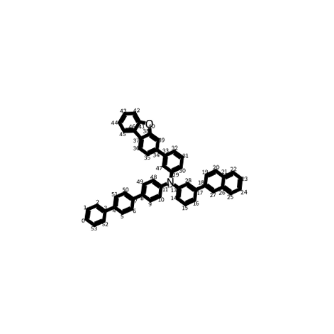 c1ccc(-c2ccc(-c3ccc(N(c4cccc(-c5ccc6ccccc6c5)c4)c4cccc(-c5ccc6c(c5)oc5ccccc56)c4)cc3)cc2)cc1